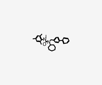 Cc1cc(C)c(N(I)C(=O)N(Cc2ccc(-c3ccccc3)cc2)C2CCCCCC2)c(C)c1